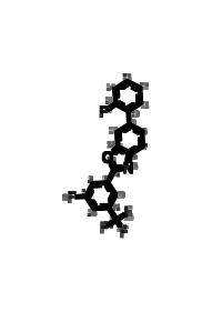 Fc1cc(-c2nc3ccc(-c4ccccc4F)cc3o2)cc(C(F)(F)F)c1